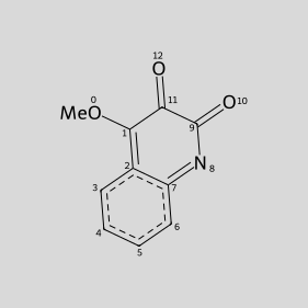 COC1=c2ccccc2=NC(=O)C1=O